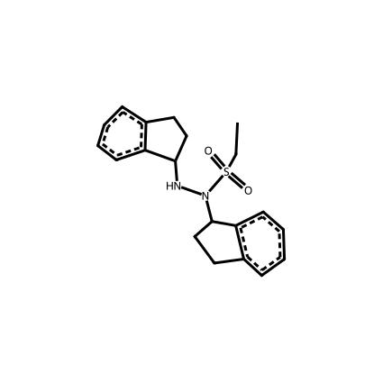 CCS(=O)(=O)N(NC1CCc2ccccc21)C1CCc2ccccc21